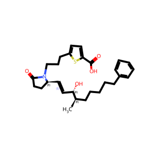 C[C@H](CCCCCc1ccccc1)[C@@H](O)/C=C/[C@H]1CCC(=O)N1CCCc1ccc(C(=O)O)s1